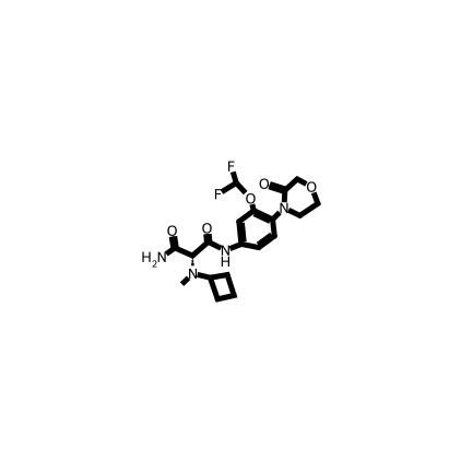 CN(C1CCC1)[C@H](C(N)=O)C(=O)Nc1ccc(N2CCOCC2=O)c(OC(F)F)c1